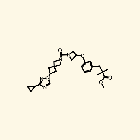 COC(=O)C(C)(C)Cc1cccc(OC2CN(C(=O)N3CC4(CC(n5cnc(C6CC6)n5)C4)C3)C2)c1